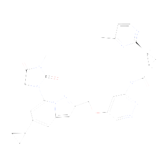 Cc1ccnc([C@H]2C[C@@H]2C(=O)Nc2cc(OCc3cc4cc(C5CC5)cc(N5CC(=O)N(C)C5=O)n4n3)cnn2)n1